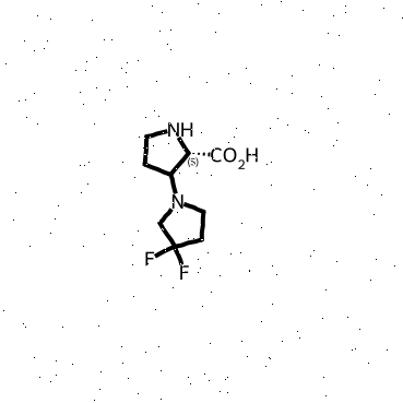 O=C(O)[C@H]1NCCC1N1CCC(F)(F)C1